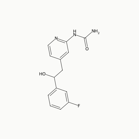 NC(=O)Nc1cc(CC(O)c2cccc(F)c2)ccn1